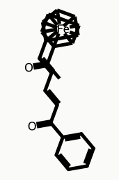 CC(=O)[C]12[CH]3[CH]4[CH]5[CH]1[Fe]45321678[CH]2[CH]1[CH]6[C]7(C=CC=CC(=O)c1ccccc1)[CH]28